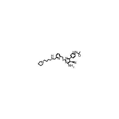 CC(=O)Nc1ccc(-c2nc(SCc3cccc(CNCCCCN4CCCC4)n3)nc(N)c2C#N)cc1